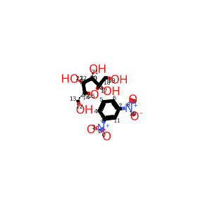 O=[N+]([O-])c1cccc([N+](=O)[O-])c1.OC[C@H]1O[C@](O)(CO)[C@@H](O)[C@@H]1O